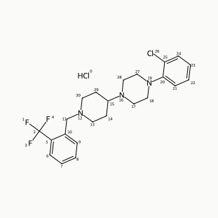 Cl.FC(F)(F)c1ccccc1CN1CCC(N2CCN(c3ccccc3Cl)CC2)CC1